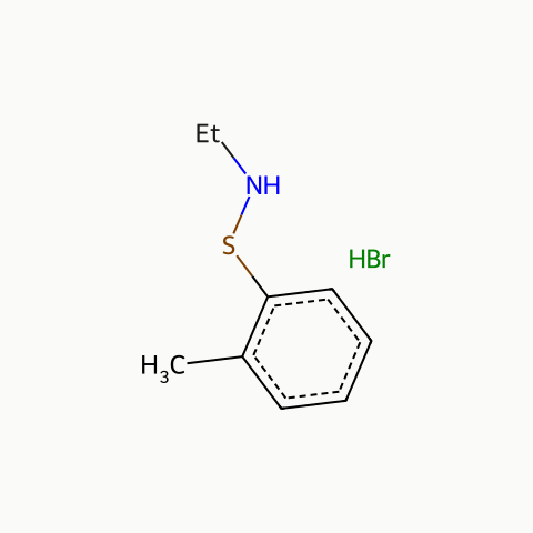 Br.CCNSc1ccccc1C